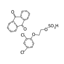 O=C1c2ccccc2C(=O)c2ccccc21.O=S(=O)(O)OCCOc1ccc(Cl)cc1Cl